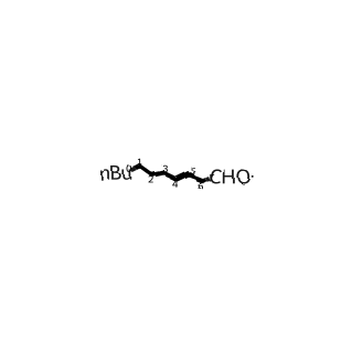 CCCCCCCC=CC[C]=O